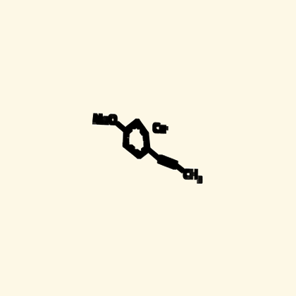 CC#Cc1ccc(OC)cc1.[Cu]